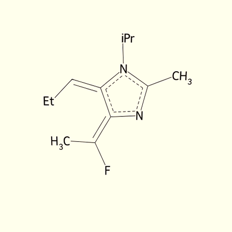 CC/C=c1\c(=C(/C)F)nc(C)n1C(C)C